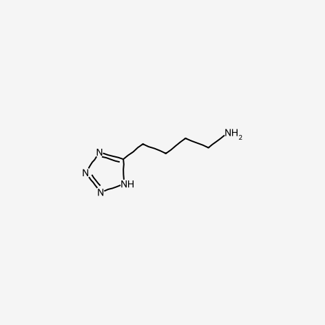 NCCCCc1nnn[nH]1